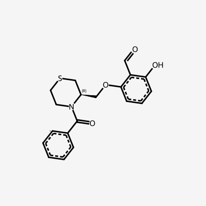 O=Cc1c(O)cccc1OC[C@@H]1CSCCN1C(=O)c1[c]cccc1